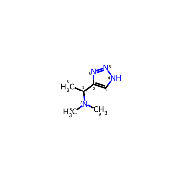 C[C](c1c[nH]nn1)N(C)C